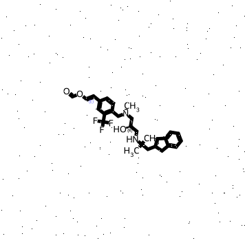 CN(Cc1ccc(/C=C/OC=O)cc1C(F)(F)F)C[C@H](O)CNC(C)(C)CC1Cc2ccccc2C1